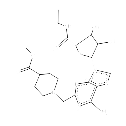 CCNC(=O)[C@H]1O[C@@H](n2cnc3c(N)nc(CN4CCC(C(=O)OC)CC4)nc32)C(O)C1O